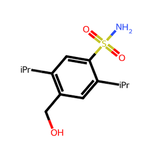 CC(C)c1cc(S(N)(=O)=O)c(C(C)C)cc1CO